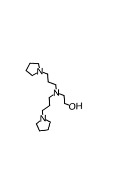 OCCN(CCCN1CCCC1)CCCN1CCCC1